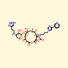 CO[C@]1(C)C[C@@H](C)C(=O)[C@H](C)[C@@H]2N(CCCCn3cnc(-c4cccnc4)c3)C(=O)O[C@]2(C)[C@@H](I)OC(=O)[C@H](C)C(=O)[C@H](C)[C@H]1O[C@@H]1O[C@H](C)C[C@H](N(C)CCc2c[nH]nn2)[C@H]1O